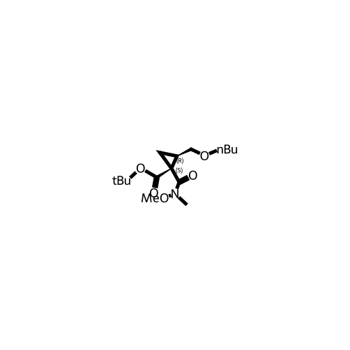 CCCCOC[C@@H]1C[C@@]1(C(=O)OC(C)(C)C)C(=O)N(C)OC